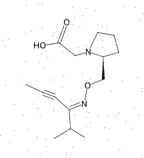 CC#C/C(=N\OC[C@@H]1CCCN1CC(=O)O)C(C)C